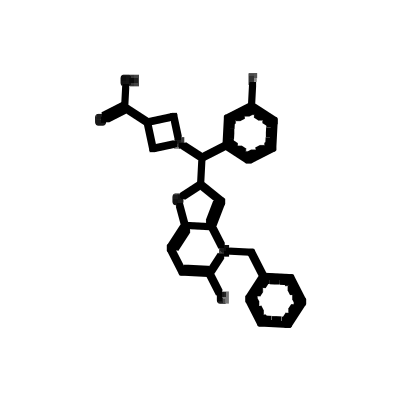 O=C(O)C1CN(C(c2cccc(F)c2)C2C=C3C(=CC=C(Cl)N3Cc3ccccc3)O2)C1